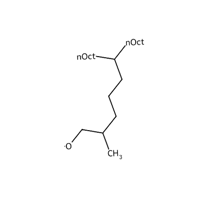 CCCCCCCCC(CCCCCCCC)CCCC(C)C[O]